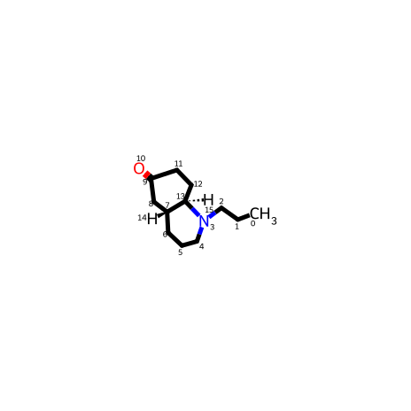 CCCN1CCC[C@@H]2CC(=O)CC[C@H]21